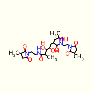 CC(O)CC(CC(O)C(O)C(C)C(=O)NCCN1C(=O)CC(C)C1=O)C(=O)NCCN1C(=O)CC(C)C1=O